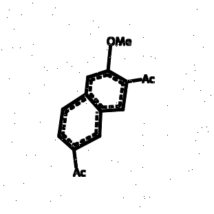 COc1cc2ccc(C(C)=O)cc2cc1C(C)=O